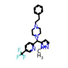 Cn1nccc1C(c1ccc(C(F)(F)F)cn1)N1CCN(CCc2ccccc2)CC1